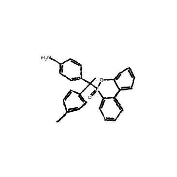 Cc1ccc(C(C)(c2ccc(N)cc2)P2(=O)Oc3ccccc3-c3ccccc32)cc1